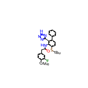 COc1ccc(CC(=O)Nc2c(SC(C)(C)C)ccc(-c3ccccc3)c2-c2nn[nH]n2)cc1F